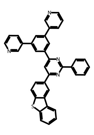 c1ccc(-c2nc(-c3cc(-c4cccnc4)cc(-c4cccnc4)c3)cc(-c3ccc4sc5ccccc5c4c3)n2)cc1